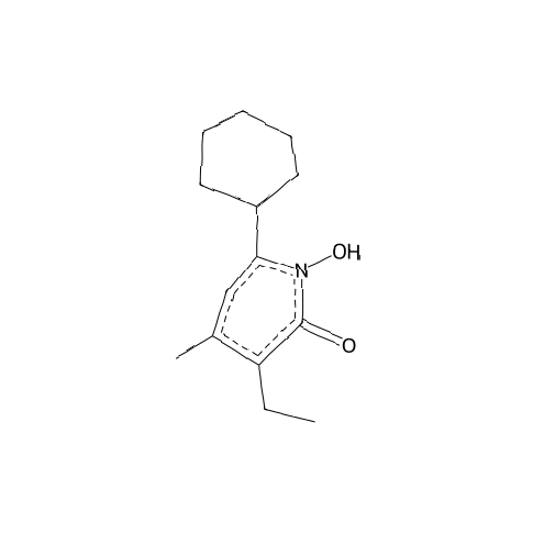 CCc1c(C)cc(C2CCCCC2)n(O)c1=O